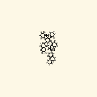 c1ccc2c(c1)ccc1cc(-c3nc(-n4c5cc6c7ccccc7n7c8ccccc8c(c5c5ccc8ccccc8c54)c67)c4ccccc4n3)ccc12